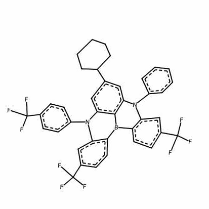 FC(F)(F)c1ccc(N2c3cc(C(F)(F)F)ccc3B3c4ccc(C(F)(F)F)cc4N(c4ccccc4)c4cc(C5CCCCC5)cc2c43)cc1